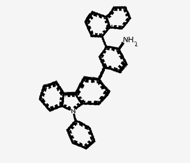 Nc1ccc(-c2ccc3c(c2)c2ccccc2n3-c2ccccc2)cc1-c1cccc2ccccc12